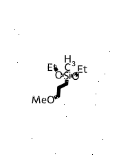 CCO[Si](C)(CCCOC)OCC